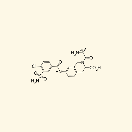 C[C@H](N)C(=O)N1Cc2cc(NC(=O)c3ccc(Cl)c(S(N)(=O)=O)c3)ccc2CC1C(=O)O